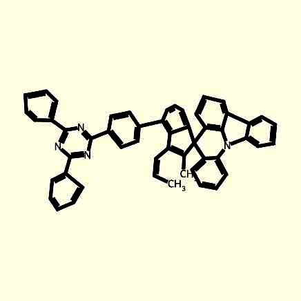 C/C=C\C1=C(C)C2(c3ccccc3-n3c4ccccc4c4cccc2c43)c2cccc(-c3ccc(-c4nc(-c5ccccc5)nc(-c5ccccc5)n4)cc3)c21